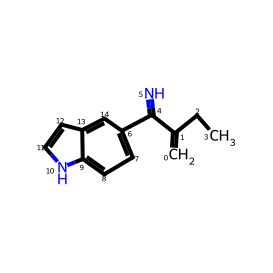 C=C(CC)C(=N)c1ccc2[nH]ccc2c1